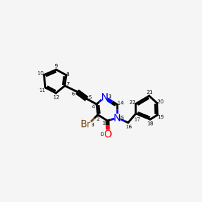 O=c1c(Br)c(C#Cc2ccccc2)ncn1Cc1ccccc1